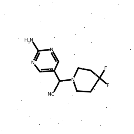 N#CC(c1cnc(N)nc1)N1CCC(F)(F)CC1